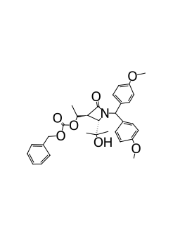 COc1ccc(C(c2ccc(OC)cc2)N2C(=O)[C@H](C(C)OC(=O)OCc3ccccc3)[C@H]2C(C)(C)O)cc1